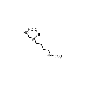 O=C(O)NCCCC[C@@H](CO)NC(=O)O